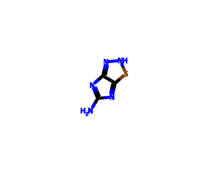 Nc1nc2n[nH]sc-2n1